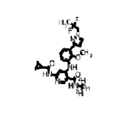 [2H]C([2H])([2H])NC(=O)c1cnc(NC(=O)C2CC2)cc1Nc1cccc(-c2ccn(CC(C)(F)F)n2)c1OC